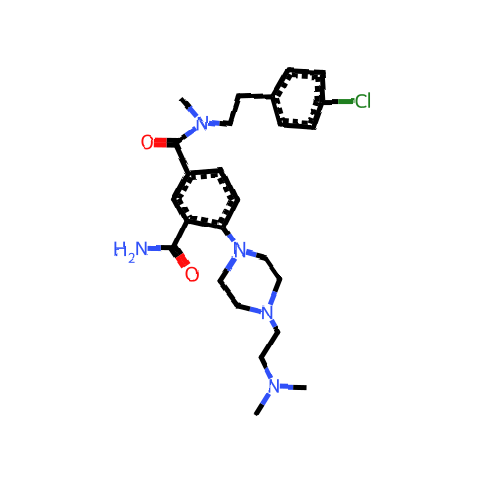 CN(C)CCN1CCN(c2ccc(C(=O)N(C)CCc3ccc(Cl)cc3)cc2C(N)=O)CC1